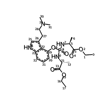 CCOC(=O)[C@H](C)NP(=O)(N[C@H](C)C(=O)OCC)Oc1cccc2[nH]cc(CCN(C)C)c12